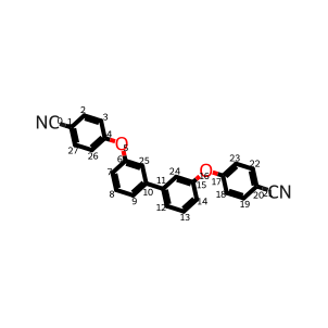 N#Cc1ccc(Oc2cccc(-c3cccc(Oc4ccc(C#N)cc4)c3)c2)cc1